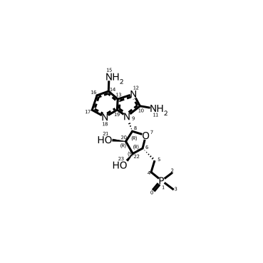 C=P(C)(C)CC[C@H]1O[C@@H](n2c(N)nc3c(N)ccnc32)[C@H](O)[C@@H]1O